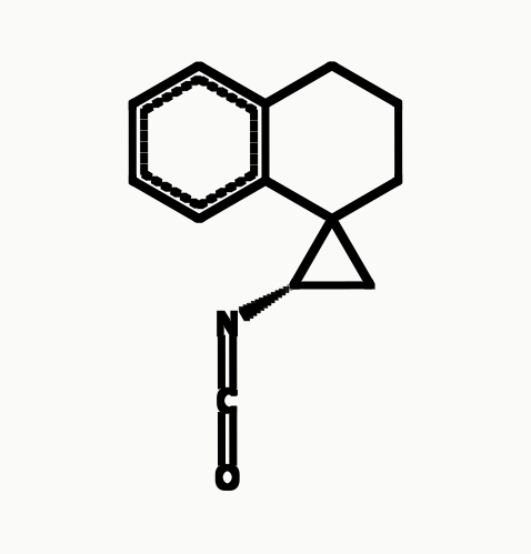 O=C=N[C@H]1CC12CCCc1ccccc12